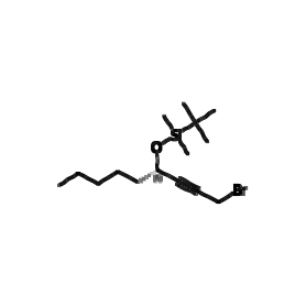 CCCCC[C@@H](C#CCBr)O[Si](C)(C)C(C)(C)C